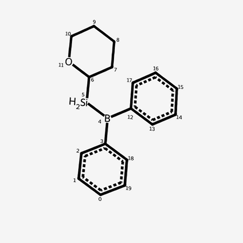 c1ccc(B([SiH2]C2CCCCO2)c2ccccc2)cc1